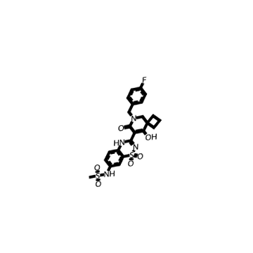 CS(=O)(=O)Nc1ccc2c(c1)S(=O)(=O)N=C(C1=C(O)C3(CCC3)CN(Cc3ccc(F)cc3)C1=O)N2